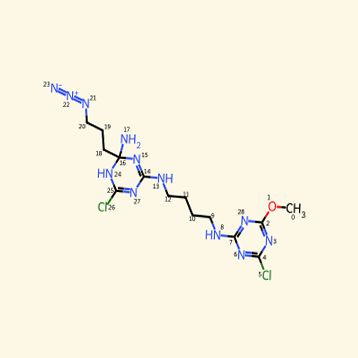 COc1nc(Cl)nc(NCCCCNC2=NC(N)(CCCN=[N+]=[N-])NC(Cl)=N2)n1